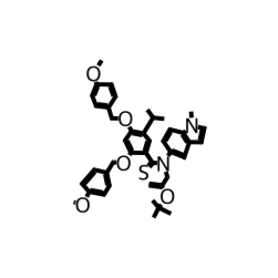 C=C(CN(C(=S)c1cc(C(C)C)c(OCc2ccc(OC)cc2)cc1OCc1ccc(OC)cc1)c1ccc2c(ccn2C)c1)OC(C)(C)C